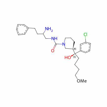 COCCCC[C@@](O)(c1cccc(Cl)c1)[C@@H]1CCCN(C(=O)NCC(N)CCc2ccccc2)C1